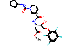 CC(C)(C)OC(=O)C[C@H](NC(=O)[C@@H]1CCCN(C(=O)NC2CCCC2)C1)C(O)COc1c(F)c(F)cc(F)c1F